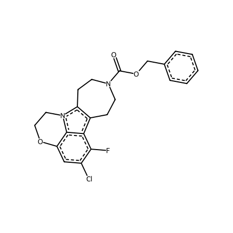 O=C(OCc1ccccc1)N1CCc2c(n3c4c(cc(Cl)c(F)c24)OCC3)CC1